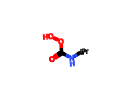 CC(C)NC(=O)OO